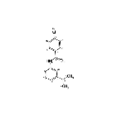 CC(C)c1cncc(NC(=O)c2ccc(Cl)cc2)c1